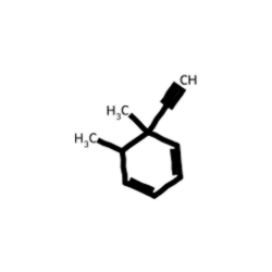 C#CC1(C)C=CC=CC1C